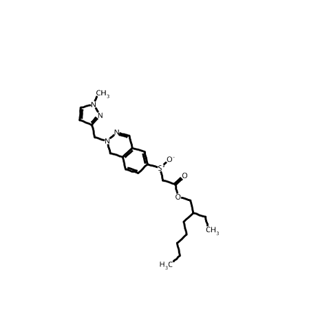 CCCCCC(CC)COC(=O)C[S+]([O-])c1ccc2c(c1)C=NN(Cc1ccn(C)n1)C2